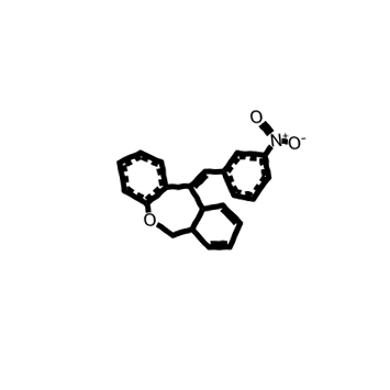 O=[N+]([O-])c1cccc(C=C2c3ccccc3OCC3C=CC=CC23)c1